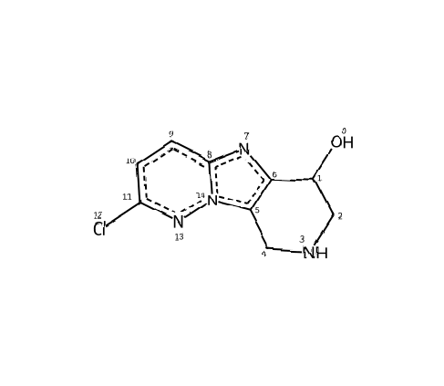 OC1CNCc2c1nc1ccc(Cl)nn21